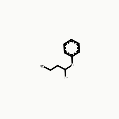 CCC(CCC#N)Oc1ccccc1